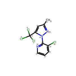 Cc1cc(C(Cl)(Cl)Cl)n(-c2ncccc2Cl)n1